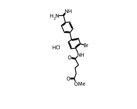 COC(=O)CCCC(=O)Nc1ccc(-c2ccc(C(=N)N)cc2)cc1Br.Cl